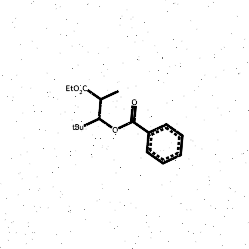 CCOC(=O)C(C)C(OC(=O)c1ccccc1)C(C)(C)C